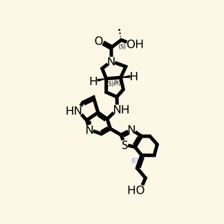 C[C@H](O)C(=O)N1C[C@H]2CC(Nc3c(-c4nc5c(s4)/C(=C/CO)CCC5)cnc4[nH]ccc34)C[C@H]2C1